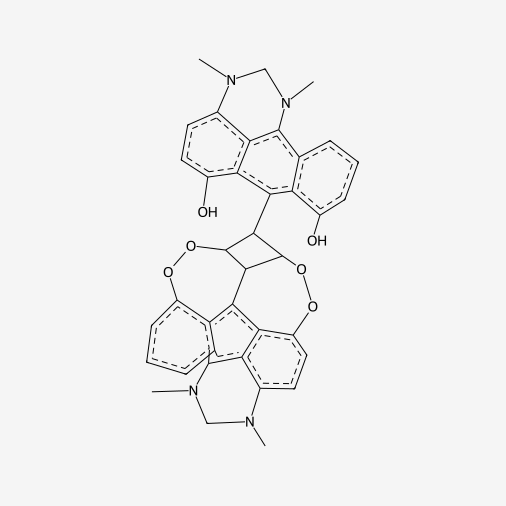 CN1CN(C)c2c3cccc(O)c3c(C3C4OOc5cccc6c7c8c(ccc9c8c(c56)C4C3OO9)N(C)CN7C)c3c(O)ccc1c23